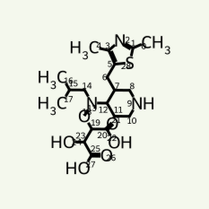 Cc1nc(C)c(CC2CNCCC2N(CC(C)C)OC(C(=O)O)C(O)C(=O)O)s1